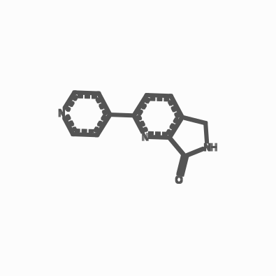 O=C1NCc2ccc(-c3ccncc3)nc21